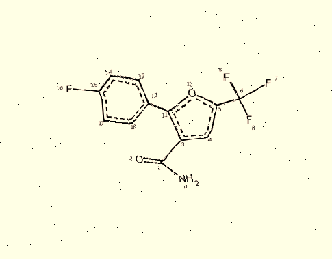 NC(=O)c1cc(C(F)(F)F)oc1-c1ccc(F)cc1